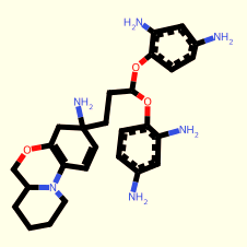 Nc1ccc(OC(CCC2(N)C=CC3=C(C2)OCC2CCCCN32)Oc2ccc(N)cc2N)c(N)c1